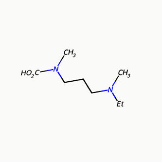 CCN(C)CCCN(C)C(=O)O